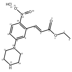 CCOC(=O)C=Cc1cc(N2CCNCC2)ccc1[N+](=O)[O-].Cl